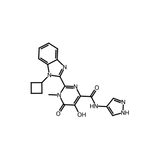 Cn1c(-c2nc3ccccc3n2C2CCC2)nc(C(=O)Nc2cn[nH]c2)c(O)c1=O